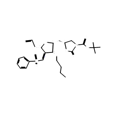 C=CC[C@@H]1O[C@H](C[C@H]2CN(C(=O)OC(C)(C)C)C(=O)O2)[C@H](OCCCC)/C1=C/S(=O)(=O)c1ccccc1